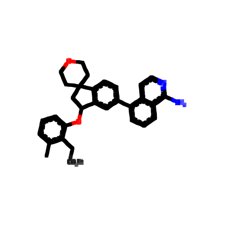 CCOC(=O)Cc1c(C)cccc1OC1CC2(CCOCC2)c2ccc(-c3cccc4c(N)nccc34)cc21